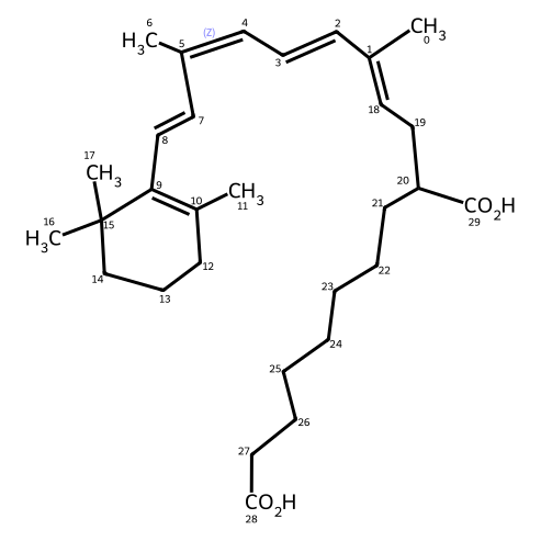 CC(C=C/C=C(/C)C=CC1=C(C)CCCC1(C)C)=CCC(CCCCCCCC(=O)O)C(=O)O